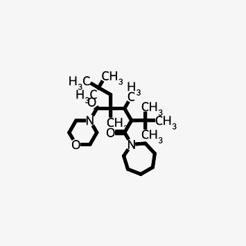 CC(C(C(=O)N1CCCCCC1)C(C)(C)C)C(C)(CC(C)(C)C)C(=O)N1CCOCC1